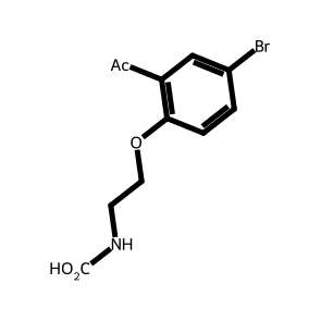 CC(=O)c1cc(Br)ccc1OCCNC(=O)O